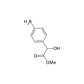 Bc1ccc(C(O)C(=O)OC)cc1